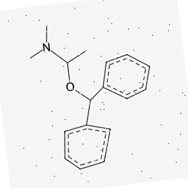 CC(OC(c1ccccc1)c1ccccc1)N(C)C